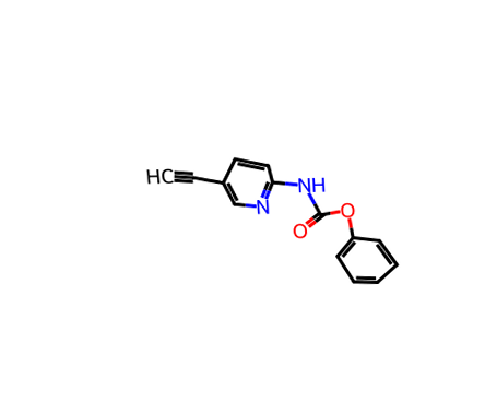 C#Cc1ccc(NC(=O)Oc2ccccc2)nc1